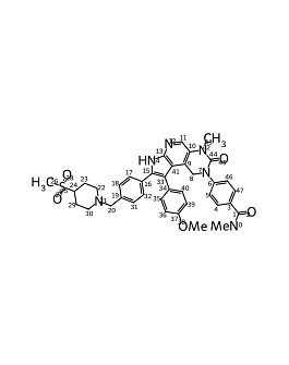 CNC(=O)c1ccc(N2Cc3c(cnc4[nH]c(-c5ccc(CN6CCC(S(C)(=O)=O)CC6)cc5)c(-c5ccc(OC)cc5)c34)N(C)C2=O)cc1